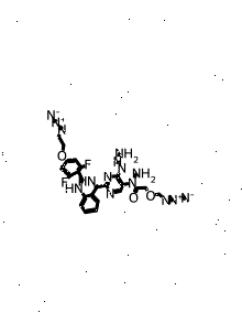 [N-]=[N+]=NCCOc1cc(F)c(CNc2ccccc2C(=N)c2ncc(N(N)C(=O)COCN=[N+]=[N-])c(N=NN)n2)c(F)c1